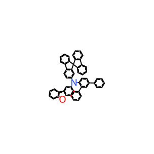 c1ccc(-c2ccc(N(c3ccc4c(c3)C3(c5ccccc5-c5ccccc53)c3ccccc3-4)c3ccc4oc5ccccc5c4c3)c(-c3ccccc3)c2)cc1